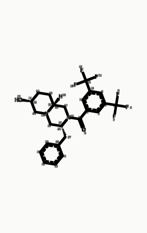 O=C(c1cc(C(F)(F)F)cc(C(F)(F)F)c1)N1C[C@H]2CC[C@H](O)CN2C[C@H]1Cc1ccccc1